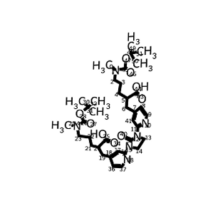 CN(CCCC(Cc1ccnc(N2CCN(c3cc(CC(CCCN(C)C(=O)OC(C)(C)C)C(=O)O)ccn3)C2=O)c1)C(=O)O)C(=O)OC(C)(C)C